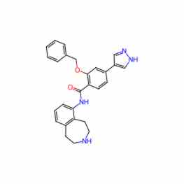 O=C(Nc1cccc2c1CCNCC2)c1ccc(-c2cn[nH]c2)cc1OCc1ccccc1